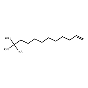 C=CCCCCCCCCC(CCCC)(CCCC)N=O